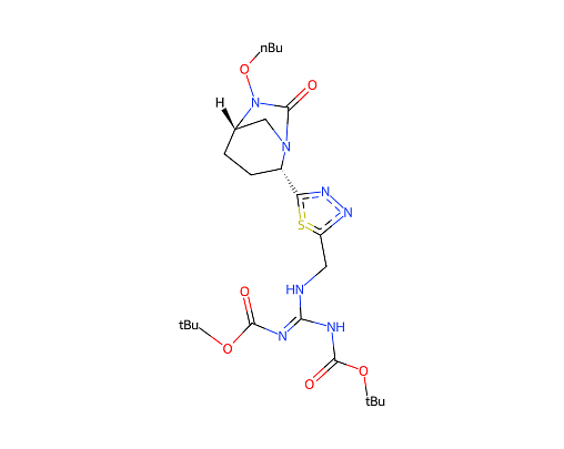 CCCCON1C(=O)N2C[C@@H]1CC[C@H]2c1nnc(CN/C(=N\C(=O)OC(C)(C)C)NC(=O)OC(C)(C)C)s1